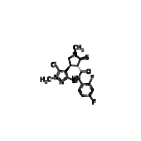 CN1C[C@H](c2c(Br)nn(C)c2Cl)[C@@H](C(=O)Nc2ccc(F)cc2F)C1=S